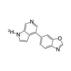 [2H]n1ccc2c(-c3ccc4ncoc4c3)cncc21